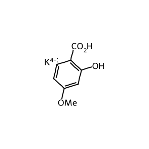 COc1ccc(C(=O)O)c(O)c1.[K-4]